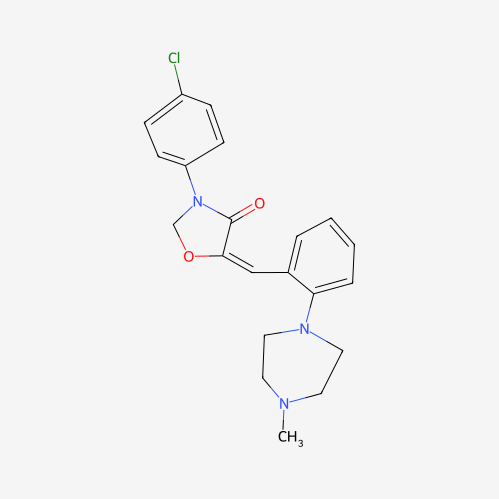 CN1CCN(c2ccccc2C=C2OCN(c3ccc(Cl)cc3)C2=O)CC1